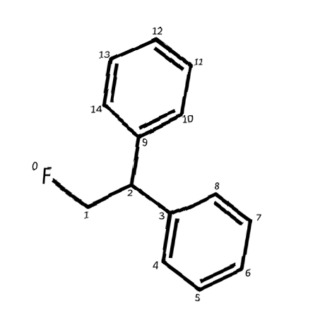 FCC(c1ccccc1)c1ccccc1